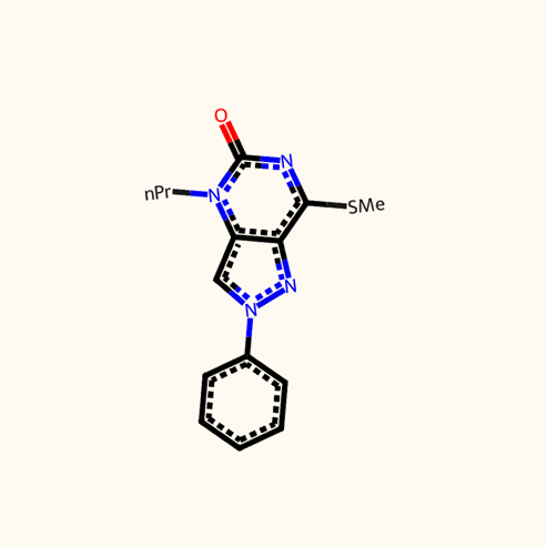 CCCn1c(=O)nc(SC)c2nn(-c3ccccc3)cc21